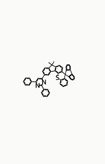 CC1(C)c2ccc(-c3cc(-c4ccccc4)nc(-c4ccccc4)n3)cc2-c2c1ccc1c2Sc2ccccc2C12c1ccccc1-c1ccccc12